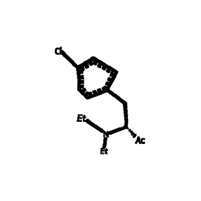 CCN(CC)[C@H](Cc1ccc(Cl)cc1)C(C)=O